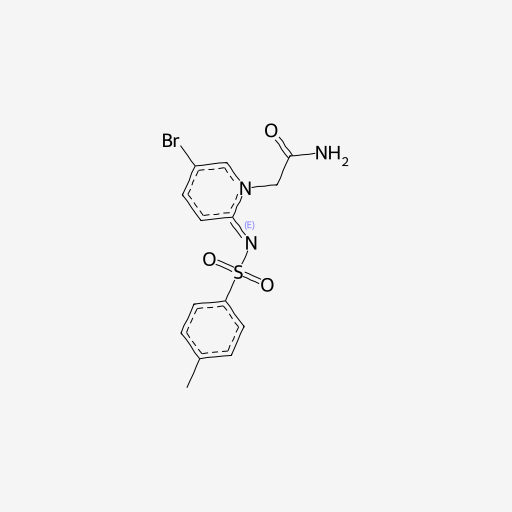 Cc1ccc(S(=O)(=O)/N=c2\ccc(Br)cn2CC(N)=O)cc1